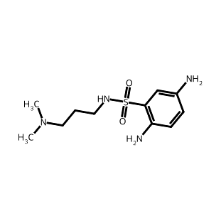 CN(C)CCCNS(=O)(=O)c1cc(N)ccc1N